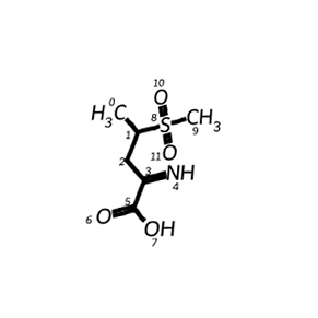 CC(CC(=N)C(=O)O)S(C)(=O)=O